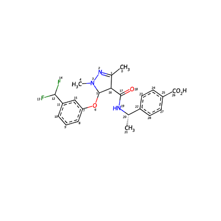 CC1=NN(C)C(Oc2cccc(C(F)F)c2)C1C(=O)N[C@@H](C)c1ccc(C(=O)O)cc1